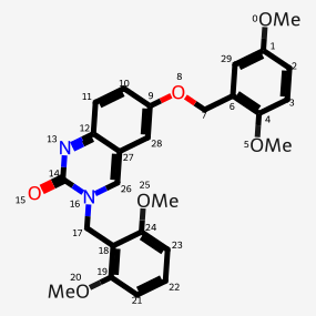 COc1ccc(OC)c(COc2ccc3nc(=O)n(Cc4c(OC)cccc4OC)cc3c2)c1